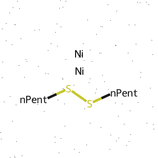 CCCCCSSCCCCC.[Ni].[Ni]